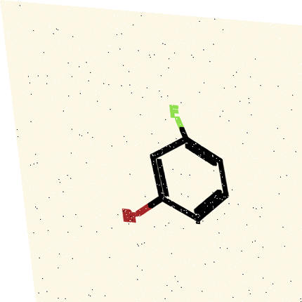 Fc1cc[c]c(Br)c1